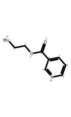 CC(C)(C)CCOC(=O)c1cccnc1